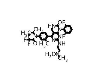 Cc1cc(N(C(=O)C(F)(F)F)C(C)C)ccc1-c1nc(NCCN(C)C)nc2c1CNC(=O)N2c1c(F)cccc1F